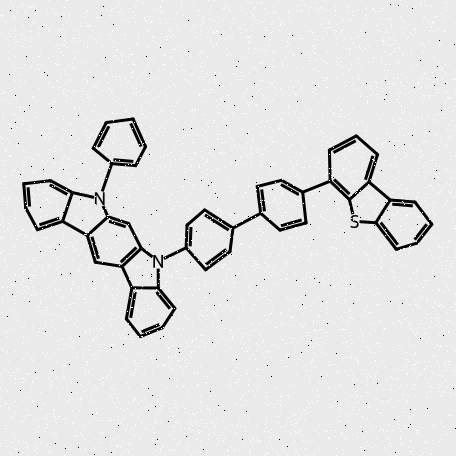 c1ccc(-n2c3ccccc3c3cc4c5ccccc5n(-c5ccc(-c6ccc(-c7cccc8c7sc7ccccc78)cc6)cc5)c4cc32)cc1